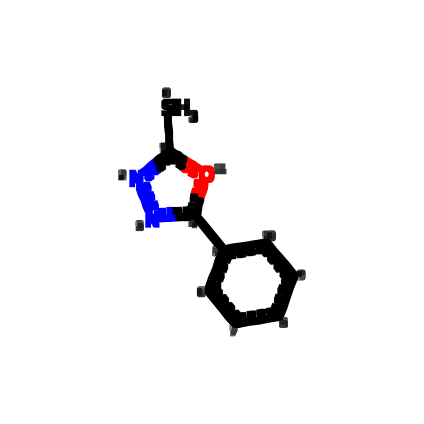 [SiH3]c1nnc(-c2ccccc2)o1